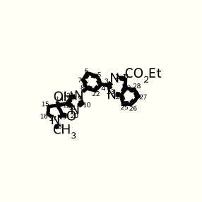 CCOC(=O)c1nc(-c2cccc(-n3cnc(C4(O)CCN(C)C4=O)c3)c2)nc2ccccc12